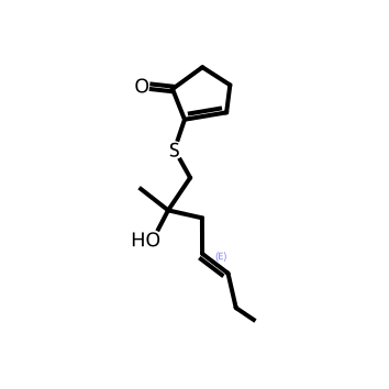 CC/C=C/CC(C)(O)CSC1=CCCC1=O